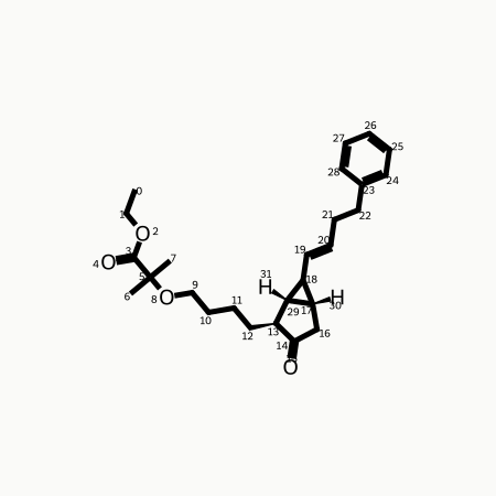 CCOC(=O)C(C)(C)OCCCC[C@@H]1C(=O)C[C@H]2C(C=CCCc3ccccc3)[C@@H]12